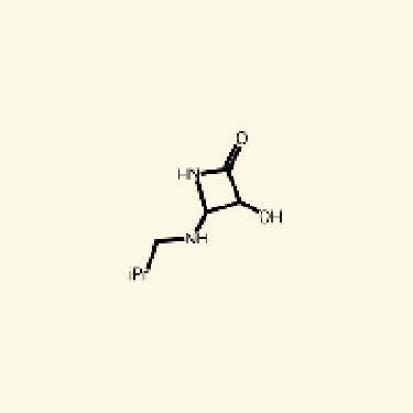 CC(C)CNC1NC(=O)C1O